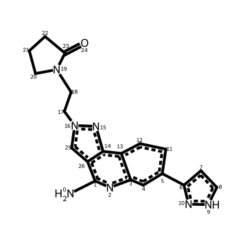 Nc1nc2cc(-c3cc[nH]n3)ccc2c2nn(CCN3CCCC3=O)cc12